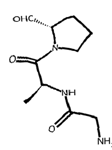 C[C@H](NC(=O)CN)C(=O)N1CCC[C@H]1C=O